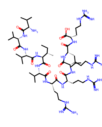 CC[C@H](C)[C@H](NC(=O)[C@@H](NC(=O)[C@@H](NC(=O)[C@@H](N)C(C)C)C(C)C)C(C)C)C(=O)N[C@H](C(=O)N[C@@H](CCCNC(=N)N)C(=O)N[C@@H](CCCNC(=N)N)C(=O)N[C@@H](CCCNC(=N)N)C(=O)N[C@@H](CC(C)C)C(=O)N[C@@H](CCCNC(=N)N)C(=O)O)C(C)C